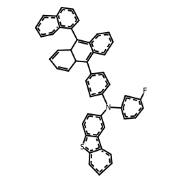 Fc1cccc(N(c2ccc(C3=c4ccccc4=C(c4cccc5ccccc45)C4C=CC=CC34)cc2)c2ccc3sc4ccccc4c3c2)c1